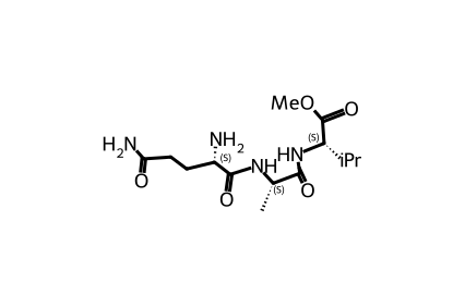 COC(=O)[C@@H](NC(=O)[C@H](C)NC(=O)[C@@H](N)CCC(N)=O)C(C)C